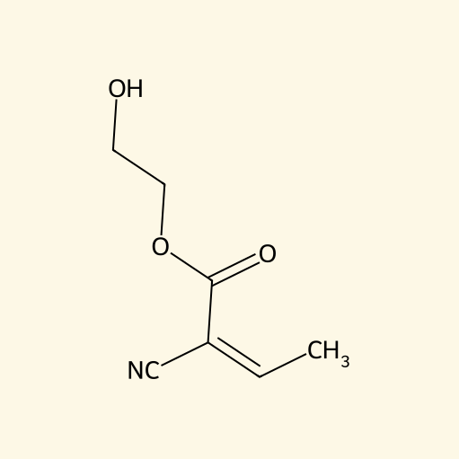 CC=C(C#N)C(=O)OCCO